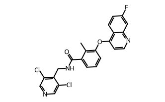 Cc1c(Oc2ccnc3cc(F)ccc23)cccc1C(=O)NCc1c(Cl)cncc1Cl